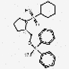 CC(C)(C)[Si](OC[C@H]1CCCN1S(=N)(=O)C1CCCCC1)(c1ccccc1)c1ccccc1